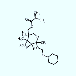 C=C(C)C(=O)OCC1(C)COC(OCOC2CCCCC2)(C(F)(F)F)C(F)(F)C1(C)OC(C)=O